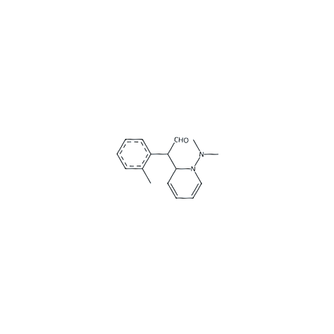 Cc1ccccc1C(C=O)C1C=CC=CN1N(C)C